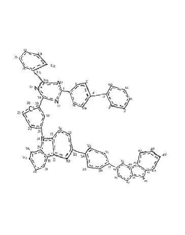 c1ccc(-c2ccc(-c3nc(-c4ccccc4)nc(-c4cccc(-n5c6ccccc6c6cc(-c7ccc(-c8ccc9sc%10ccccc%10c9c8)cc7)ccc65)c4)n3)cc2)cc1